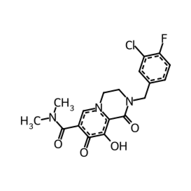 CN(C)C(=O)c1cn2c(c(O)c1=O)C(=O)N(Cc1ccc(F)c(Cl)c1)CC2